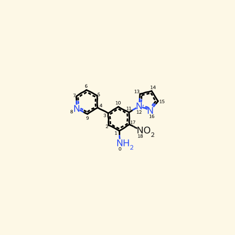 Nc1cc(-c2cccnc2)cc(-n2cccn2)c1[N+](=O)[O-]